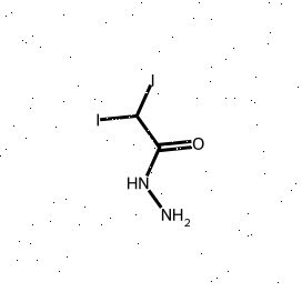 NNC(=O)C(I)I